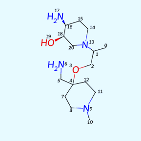 CC(COC1(CN)CCN(C)CC1)N1CC[C@H](N)[C@H](O)C1